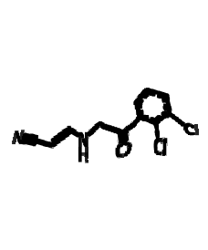 N#CC=CNCC(=O)c1cccc(Cl)c1Cl